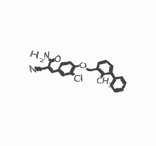 Cc1c(COc2ccc(C=C(C#N)C(N)=O)cc2Cl)cccc1-c1ccccc1